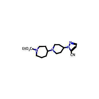 CCOC(=O)N1CCCC(N2CCC(n3nccc3C#N)CC2)CC1